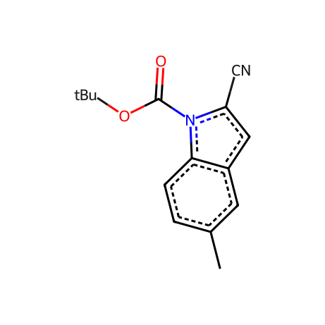 Cc1ccc2c(c1)cc(C#N)n2C(=O)OC(C)(C)C